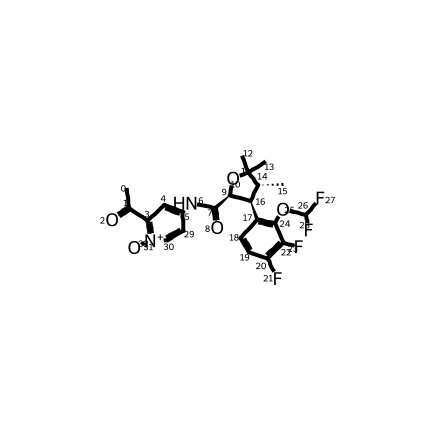 CC(=O)c1cc(NC(=O)[C@H]2OC(C)(C)[C@H](C)[C@H]2c2ccc(F)c(F)c2OC(F)F)cc[n+]1[O-]